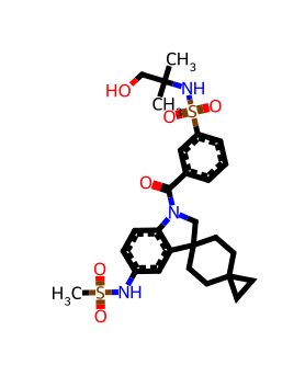 CC(C)(CO)NS(=O)(=O)c1cccc(C(=O)N2CC3(CCC4(CC4)CC3)c3cc(NS(C)(=O)=O)ccc32)c1